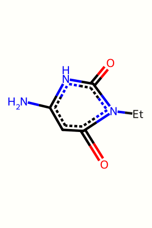 CCn1c(=O)cc(N)[nH]c1=O